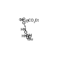 CCOC(=O)COCc1cc(C#CCNc2ccc(C(=N)NC(=O)OC(C)(C)C)cc2)ccc1C(=O)N1CCCC1